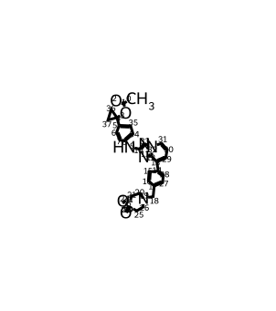 CC(=O)OC1(c2ccc(Nc3nc4c(-c5ccc(CN6CCS(=O)(=O)CC6)cc5)cccn4n3)cc2)CC1